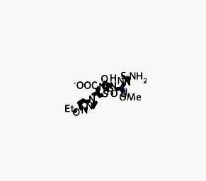 CCOc1ccc2n(CC3=C(C(=O)[O-])N4C(=O)[C@@H](NC(=O)/C(=N\OC)c5nsc(N)n5)[C@H]4SC3)cc[n+]2n1